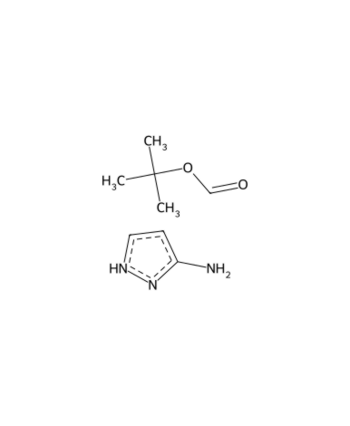 CC(C)(C)OC=O.Nc1cc[nH]n1